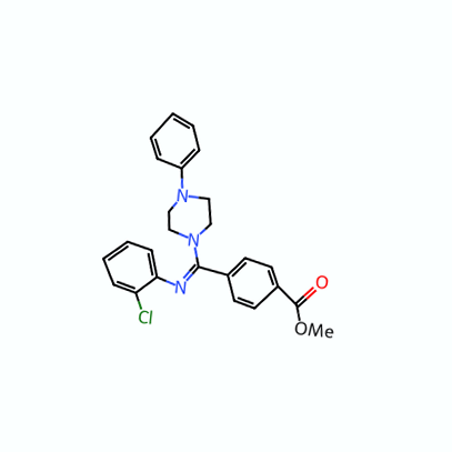 COC(=O)c1ccc(/C(=N/c2ccccc2Cl)N2CCN(c3ccccc3)CC2)cc1